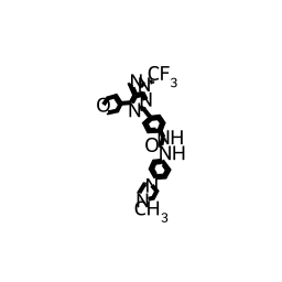 CN1CCN(c2ccc(NC(=O)Nc3ccc(-c4nc(C5=CCOCC5)c5cnn(CC(F)(F)F)c5n4)cc3)cc2)CC1